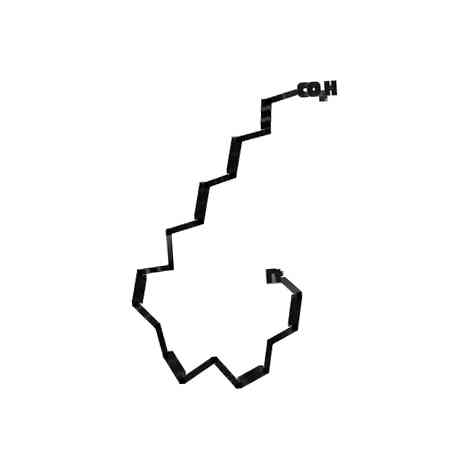 CC/C=C\C/C=C\C/C=C\C/C=C\CCC=CC=CC=CC(=O)O